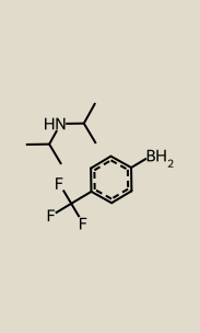 Bc1ccc(C(F)(F)F)cc1.CC(C)NC(C)C